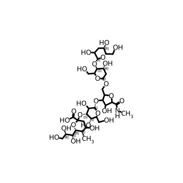 CNC(=O)C1OC(CO[C@H]2C[C@@H](O)[C@H](O[C@@H]3OC(CO)[C@H](O)CC3O)C(CO)O2)C(O[C@@H]2OC(CO)[C@H](O)[C@H](OC3(C(=O)O)CC(O)[C@@H](C)[C@H]([C@H](O)[C@H](O)CO)O3)C2O)C1O